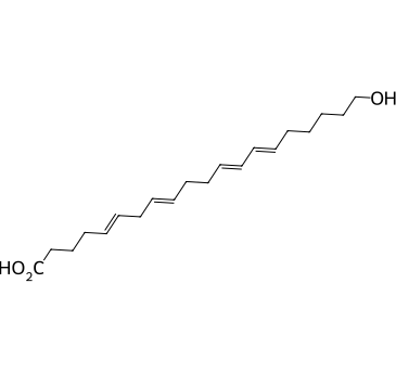 O=C(O)CCCC=CCC=CCCC=CC=CCCCCCO